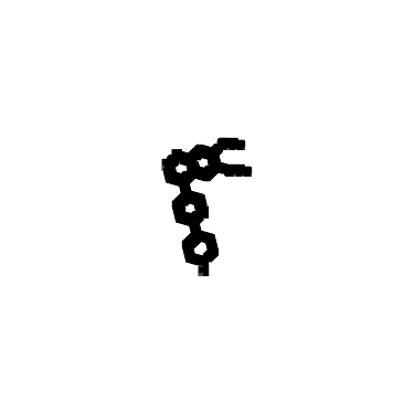 COc1cc2nncc(-c3ccc(C4=CCNCC4)nc3)c2cc1OC